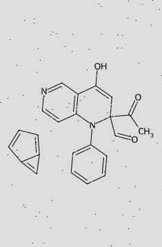 CC(=O)C1(C=O)C=C(O)c2cnccc2N1c1ccccc1.c1cc2cc-2c1